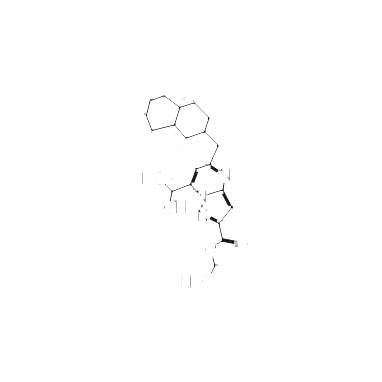 CCOC(=O)c1cc2nc(CC3CCC4CCCCC4C3)cc(C(C)C)n2n1